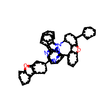 c1ccc(-c2nc(-c3ccc4c(c3)oc3ccccc34)nc(-c3cccc4oc5c(-c6ccccc6)ccc(-n6c7ccccc7c7ccccc76)c5c34)n2)cc1